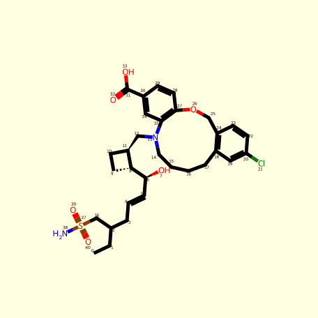 CCC(C/C=C/[C@H](O)[C@@H]1CC[C@H]1CN1CCCCc2cc(Cl)ccc2COc2ccc(C(=O)O)cc21)CS(N)(=O)=O